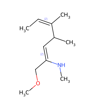 C/C=C(/C)C(C)/C=C(/COC)NC